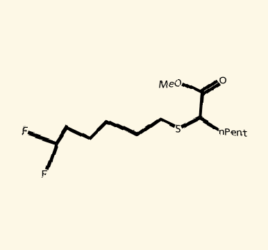 CCCCCC(SCCCCCC(F)F)C(=O)OC